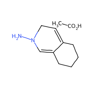 CC(=O)O.NN1C=C2CCCCC2=CC1